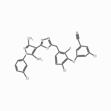 Cc1nn(-c2cccc(Cl)c2)c(N)c1-c1nnc(Cc2ccc(Cl)c(Oc3cc(Cl)cc(C#N)c3)c2F)o1